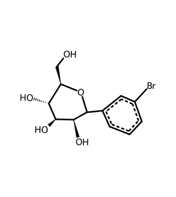 OC[C@H]1OC(c2cccc(Br)c2)[C@@H](O)[C@@H](O)[C@@H]1O